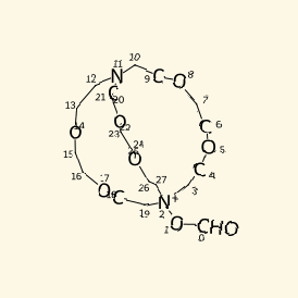 O=CO[N+]12CCOCCOCCN(CCOCCOCC1)CCOCCOCC2